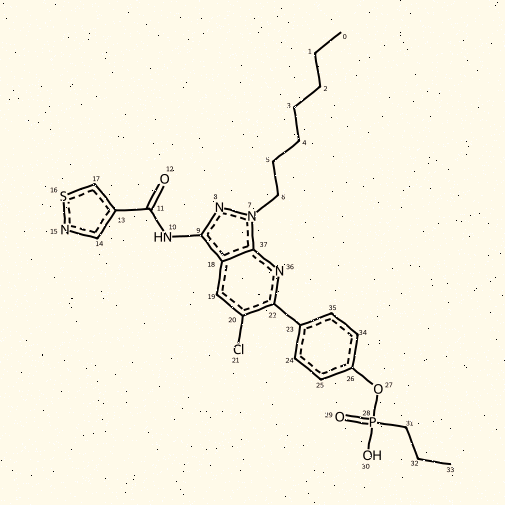 CCCCCCCn1nc(NC(=O)c2cnsc2)c2cc(Cl)c(-c3ccc(OP(=O)(O)CCC)cc3)nc21